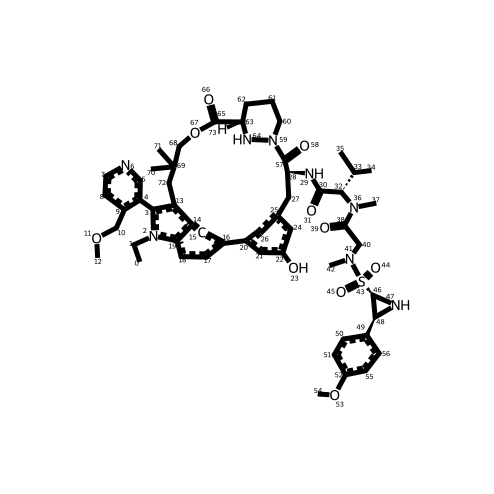 CCn1c(-c2cnccc2COC)c2c3cc(ccc31)-c1cc(O)cc(c1)C[C@H](NC(=O)[C@H](C(C)C)N(C)C(=O)CN(C)S(=O)(=O)[C@@H]1N[C@H]1c1ccc(OC)cc1)C(=O)N1CCC[C@H](N1)C(=O)OCC(C)(C)C2